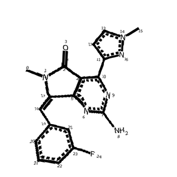 CN1C(=O)c2c(nc(N)nc2-c2ccn(C)n2)/C1=C\c1cccc(F)c1